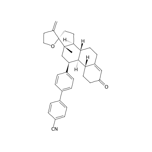 C=C1CCO[C@@]12CC[C@H]1[C@@H]3CCC4=CC(=O)CC[C@@H]4[C@H]3[C@@H](c3ccc(-c4ccc(C#N)cc4)cc3)C[C@@]12C